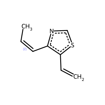 C=Cc1scnc1/C=C\C